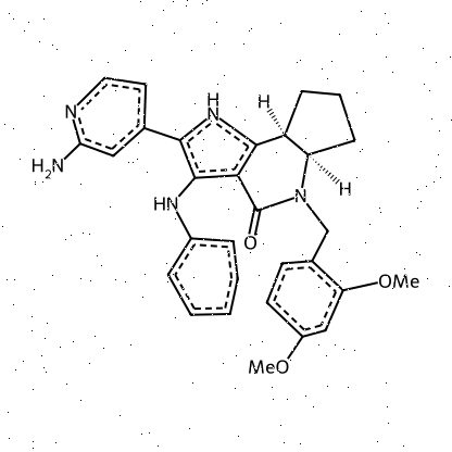 COc1ccc(CN2C(=O)c3c([nH]c(-c4ccnc(N)c4)c3Nc3ccccc3)[C@H]3CCC[C@H]32)c(OC)c1